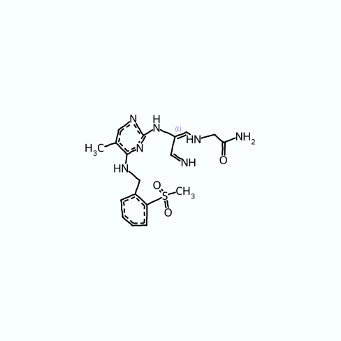 Cc1cnc(N/C(C=N)=C/NCC(N)=O)nc1NCc1ccccc1S(C)(=O)=O